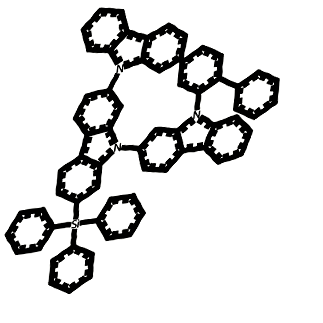 c1ccc(-c2ccccc2-n2c3ccccc3c3ccc(-n4c5cc(-n6c7ccccc7c7ccccc76)ccc5c5ccc([Si](c6ccccc6)(c6ccccc6)c6ccccc6)cc54)cc32)cc1